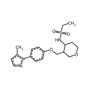 CCS(=O)(=O)NC1CCOCC1COc1ccc(-n2nccc2C)cc1